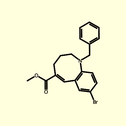 COC(=O)C1=Cc2cc(Br)ccc2N(Cc2ccccc2)CCC1